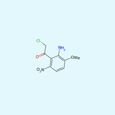 COc1ccc([N+](=O)[O-])c(C(=O)CCl)c1N